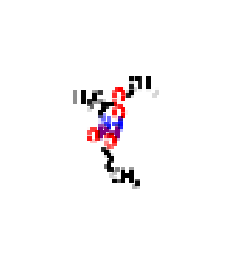 CCCCO[PH](=O)NCC(C)C(=O)OCC